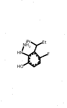 CCC(c1c(F)ccc(O)c1NN)C(C)C